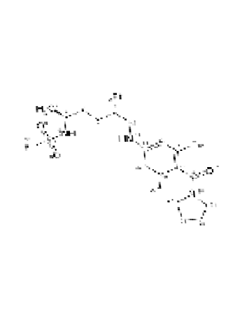 CC[C@@H](CC[C@H](C)NS(=O)(=O)C(C)C)CNC1=CC(F)=C(C(=O)N2CCCC2)C(F)C1